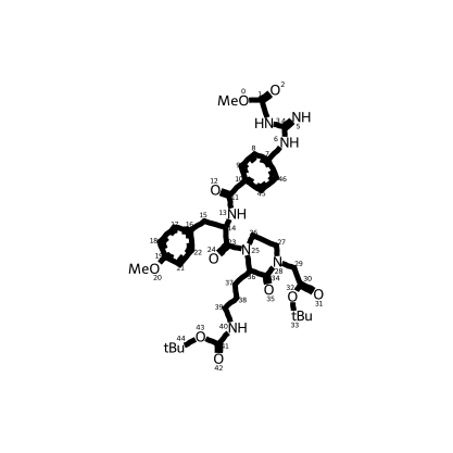 COC(=O)NC(=N)Nc1ccc(C(=O)NC(Cc2ccc(OC)cc2)C(=O)N2CCN(CC(=O)OC(C)(C)C)C(=O)C2CCCNC(=O)OC(C)(C)C)cc1